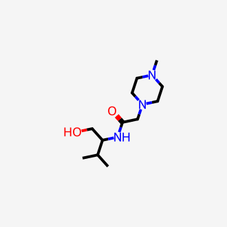 CC(C)C(CO)NC(=O)CN1CCN(C)CC1